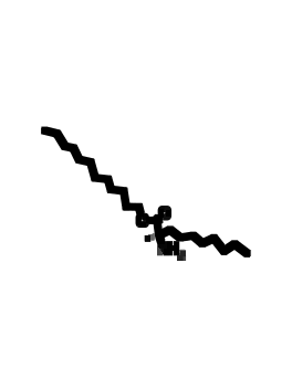 CCCCCCCCCCCCOC(=O)[C@](C)(N)CCCCCCCC